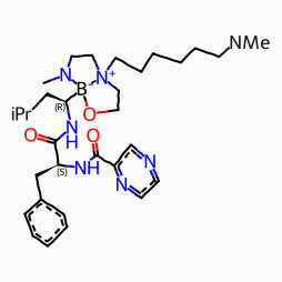 CNCCCCCC[N+]12CCO[B-]1([C@H](CC(C)C)NC(=O)[C@H](Cc1ccccc1)NC(=O)c1cnccn1)N(C)CC2